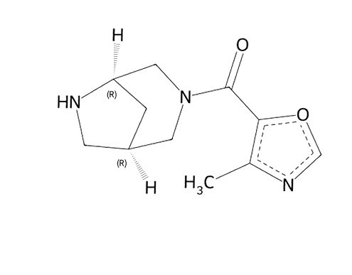 Cc1ncoc1C(=O)N1C[C@H]2CN[C@H](C2)C1